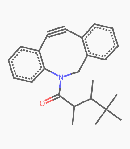 CC(C(=O)N1Cc2ccccc2C#Cc2ccccc21)C(C)C(C)(C)C